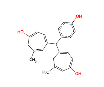 CC1=CC(C(C2=CC=C(O)C=C(C)C2)c2ccc(O)cc2)=CC=C(O)C1